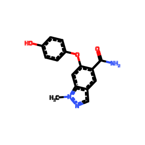 Cn1ncc2cc(C(N)=O)c(Oc3ccc(O)cc3)cc21